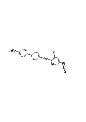 CCCc1ccc(-c2ccc(C#Cc3ncc(N=C=S)cc3F)cc2)cc1